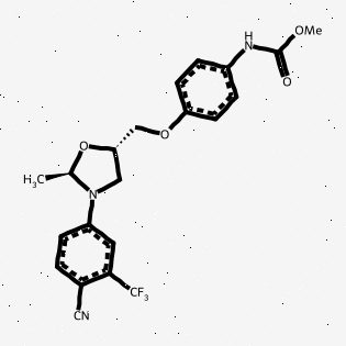 COC(=O)Nc1ccc(OC[C@@H]2CN(c3ccc(C#N)c(C(F)(F)F)c3)[C@@H](C)O2)cc1